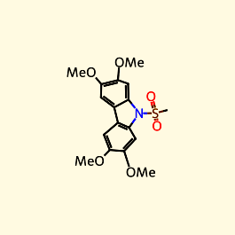 COc1cc2c3cc(OC)c(OC)cc3n(S(C)(=O)=O)c2cc1OC